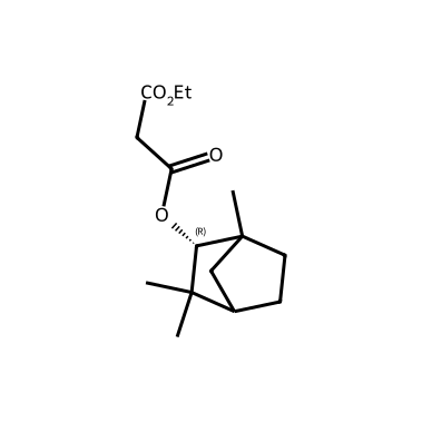 CCOC(=O)CC(=O)O[C@@H]1C2(C)CCC(C2)C1(C)C